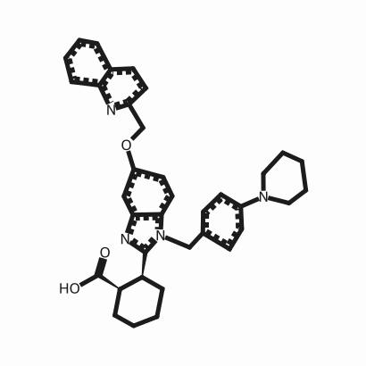 O=C(O)[C@@H]1CCCC[C@@H]1c1nc2cc(OCc3ccc4ccccc4n3)ccc2n1Cc1ccc(N2CCCCC2)cc1